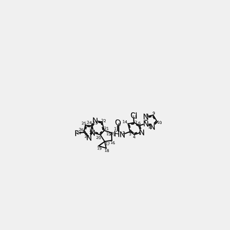 O=C(Nc1cnc(-n2nccn2)c(Cl)c1)[C@@H]1CC2(CC2)c2c1cnc1cc(F)nn21